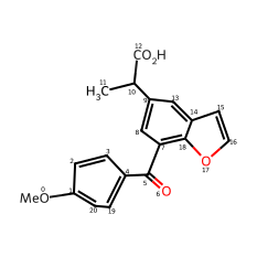 COc1ccc(C(=O)c2cc(C(C)C(=O)O)cc3ccoc23)cc1